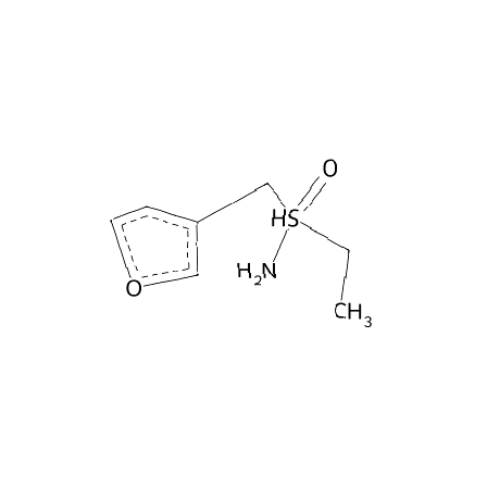 CC[SH](N)(=O)Cc1ccoc1